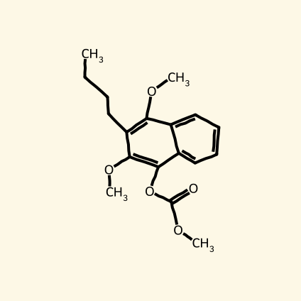 CCCCc1c(OC)c(OC(=O)OC)c2ccccc2c1OC